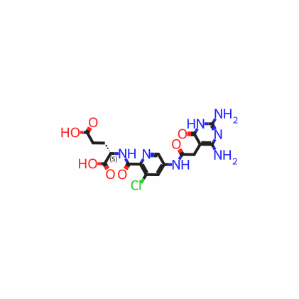 Nc1nc(N)c(CC(=O)Nc2cnc(C(=O)N[C@@H](CCC(=O)O)C(=O)O)c(Cl)c2)c(=O)[nH]1